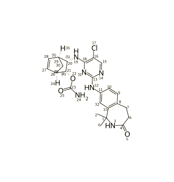 CC1(C)NC(=O)CCc2ccc(Nc3ncc(Cl)c(N[C@@H]4[C@H](OC(N)=O)[C@H]5C=C[C@@H]4C5)n3)cc21